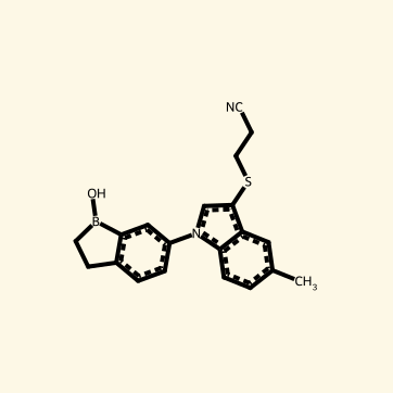 Cc1ccc2c(c1)c(SCCC#N)cn2-c1ccc2c(c1)B(O)CC2